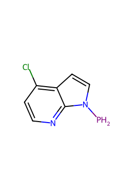 Pn1ccc2c(Cl)ccnc21